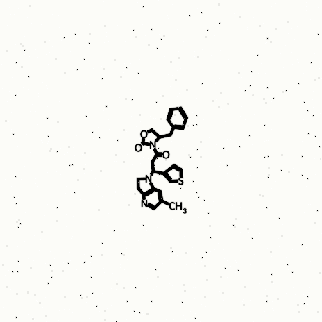 Cc1cnc2c(c1)N(C(CC(=O)N1C(=O)OCC1Cc1ccccc1)c1ccsc1)CC2